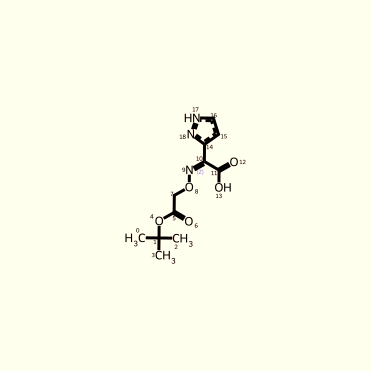 CC(C)(C)OC(=O)CO/N=C(\C(=O)O)c1cc[nH]n1